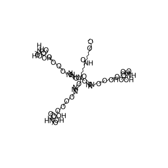 CC(=O)N[C@H]1[C@H]2OC[C@](COCCOCCOCCOCCn3cc(COCC(COCc4cn(CCOCCOCCOCCOC[C@@]56CO[C@@H](O5)[C@H](NC(C)=O)[C@@H](O)[C@H]6O)nn4)(COCc4cn(CCOCCOCCOCCOC[C@@]56CO[C@@H](O5)[C@H](NC(C)=O)[C@@H](O)[C@H]6O)nn4)NC(=O)CCCCCNC(=O)CCCCCOCc4ccccc4)nn3)(O2)[C@H](O)[C@@H]1O